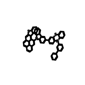 c1ccc(-c2cccc(N3c4ccccc4Sc4cc(-c5ccc6c(c5)c5ccccc5n6-c5cc6cccc7ccc8cc9sc%10ccccc%10c9c5c8c76)ccc43)c2)cc1